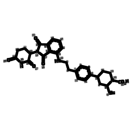 CC(C)(C)C1CC(c2ccc(CCNc3cccc4c3C(=O)N(C3CCC(=O)NC3=O)C4=O)cc2)CCN1C(=O)O